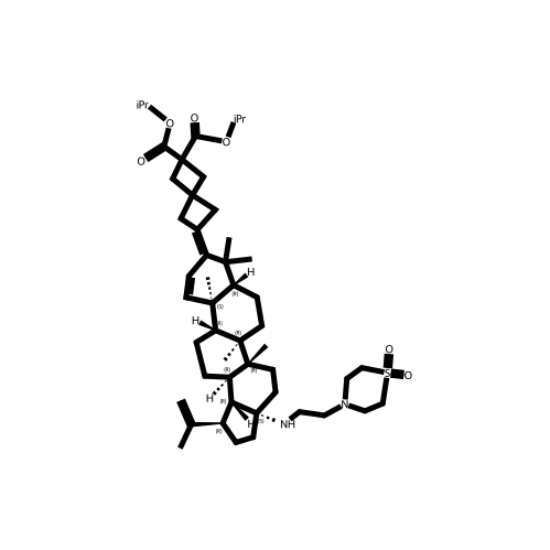 C=C(C)[C@@H]1CC[C@]2(NCCN3CCS(=O)(=O)CC3)CC[C@]3(C)[C@H](CC[C@@H]4[C@@]5(C)C=CC(=C6CC7(C6)CC(C(=O)OC(C)C)(C(=O)OC(C)C)C7)C(C)(C)[C@@H]5CC[C@]43C)[C@@H]12